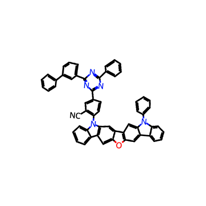 N#Cc1cc(-c2nc(-c3ccccc3)nc(-c3cccc(-c4ccccc4)c3)n2)ccc1-n1c2ccccc2c2cc3oc4cc5c6ccccc6n(-c6ccccc6)c5cc4c3cc21